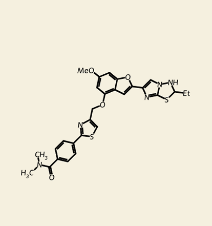 CCC1Nn2cc(-c3cc4c(OCc5csc(-c6ccc(C(=O)N(C)C)cc6)n5)cc(OC)cc4o3)nc2S1